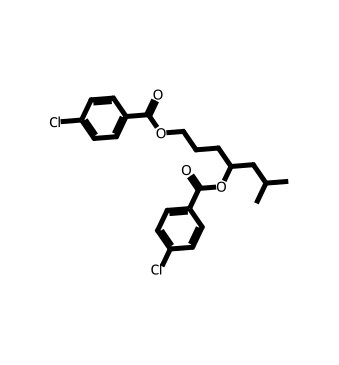 CC(C)CC(CCCOC(=O)c1ccc(Cl)cc1)OC(=O)c1ccc(Cl)cc1